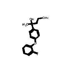 CC(=O)OCCC(C)(O)c1ccc(Oc2ccccc2F)cc1